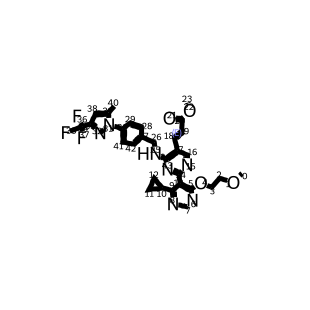 COCCOc1ncnc(C2CC2)c1-c1ncc(/C=C/C(=O)OC)c(NCc2ccc(-n3nc(C(F)(F)F)cc3C)cc2)n1